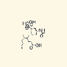 CC(=O)Nc1cccc([As](=O)(O)OO)c1.CCCCC(C)C(C)CCC(=O)O